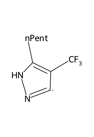 CCCCCc1[nH]n[c]c1C(F)(F)F